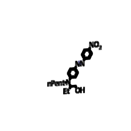 CCCCCN(c1ccc(/N=N/c2ccc([N+](=O)[O-])cc2)cc1)C(CC)CO